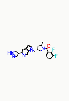 C[C@@H]1C[C@@H](Cn2ccc3cc(C4C=NNC4)ncc32)CN1C(=O)C1=CCCC(F)=C1F